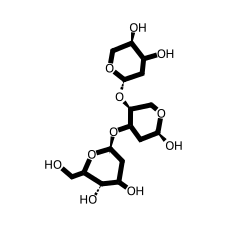 OCC1O[C@@H](OC2C[C@H](O)OC[C@@H]2O[C@H]2CC(O)[C@H](O)CO2)CC(O)[C@@H]1O